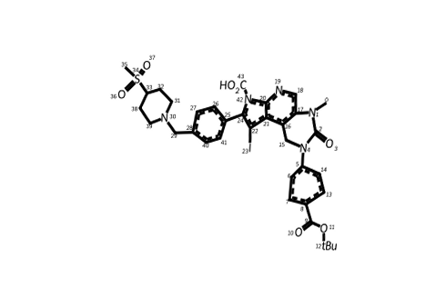 CN1C(=O)N(c2ccc(C(=O)OC(C)(C)C)cc2)Cc2c1cnc1c2c(I)c(-c2ccc(CN3CCC(S(C)(=O)=O)CC3)cc2)n1C(=O)O